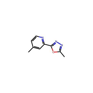 Cc1ccnc(-c2nnc(C)o2)c1